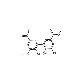 COC(=O)c1cc(O)c(O)c(-c2cc(C(=O)OC)cc(OC)c2O)c1